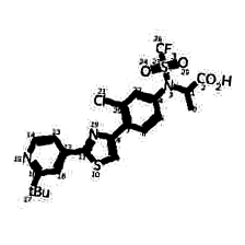 CC(C(=O)O)N(c1ccc(-c2csc(-c3ccnc(C(C)(C)C)c3)n2)c(Cl)c1)S(=O)(=O)C(F)(F)F